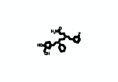 NC(=O)CCN(CCc1cccc(F)c1)CCN(CCc1ccc(O)c(CO)c1)C1CCCCC1